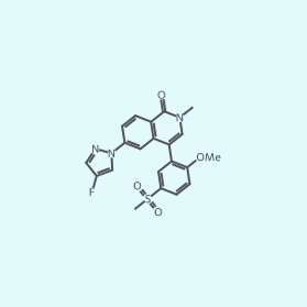 COc1ccc(S(C)(=O)=O)cc1-c1cn(C)c(=O)c2ccc(-n3cc(F)cn3)cc12